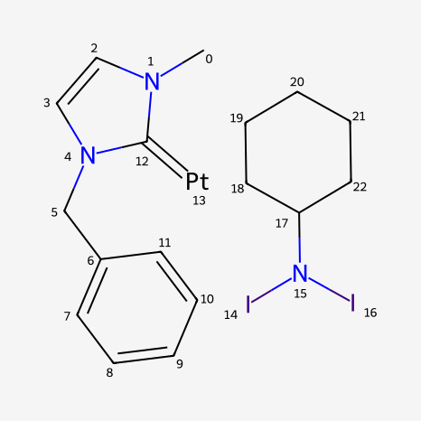 Cn1ccn(Cc2ccccc2)[c]1=[Pt].IN(I)C1CCCCC1